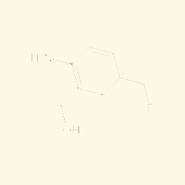 Nc1ccc(CF)cc1CO